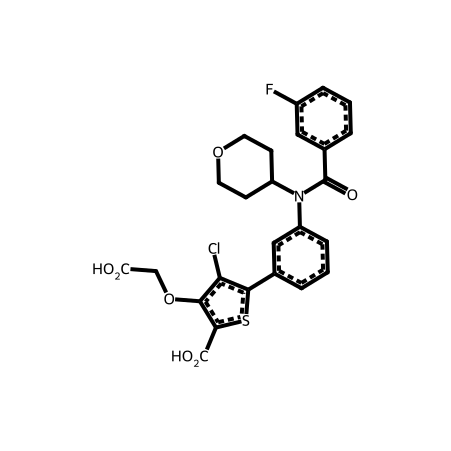 O=C(O)COc1c(C(=O)O)sc(-c2cccc(N(C(=O)c3cccc(F)c3)C3CCOCC3)c2)c1Cl